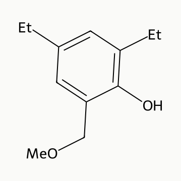 CCc1cc(CC)c(O)c(COC)c1